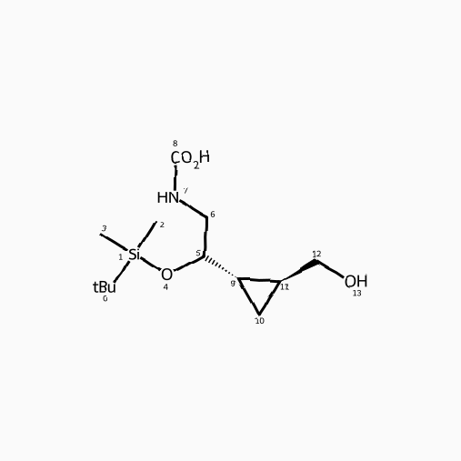 CC(C)(C)[Si](C)(C)OC(CNC(=O)O)[C@H]1C[C@@H]1CO